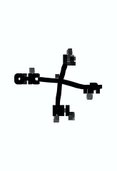 CCCC(N)(C=O)CC